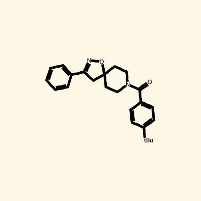 CC(C)(C)c1ccc(C(=O)N2CCC3(CC2)CC(c2ccccc2)=NO3)cc1